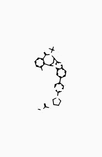 [2H]C([2H])([2H])N1C(=O)c2cccc(Cl)c2[C@H]2C[C@@H]1c1nc3ccc(-c4cnc(N5CC[C@H](NC(=O)OC(C)(C)C)C5)nc4)cc3n12